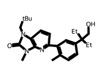 CCC(CC)(CO)c1ccc(C)c(-c2ccc3c(n2)n(C)c(=O)n3CC(C)(C)C)c1